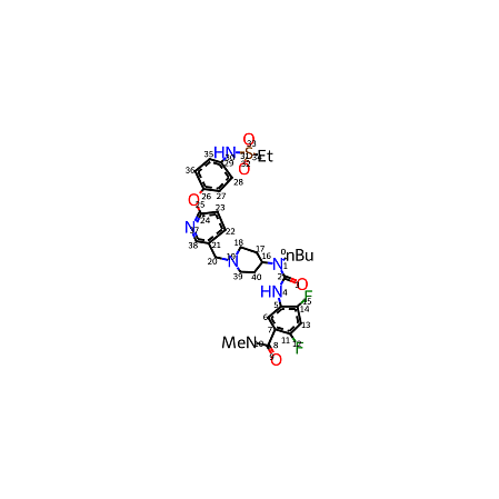 CCCCN(C(=O)Nc1cc(C(=O)NC)c(F)cc1F)C1CCN(Cc2ccc(Oc3ccc(NS(=O)(=O)CC)cc3)nc2)CC1